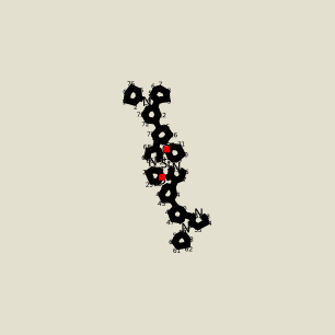 c1ccc(-n2c3ccccc3c3cc(-c4ccc5oc6c([Si](c7ccccc7)(c7ccccc7)c7nccc8c7oc7ccc(-c9ccc%10c(c9)c9ncccc9n%10-c9ccccc9)cc78)nccc6c5c4)ccc32)cc1